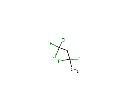 CC(F)(F)CC(F)(Cl)Cl